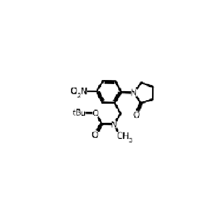 CN(Cc1cc([N+](=O)[O-])ccc1N1CCCC1=O)C(=O)OC(C)(C)C